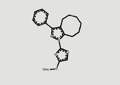 O=COc1csc(-n2nc(-c3ccccc3)c3c2CCCCCC3)n1